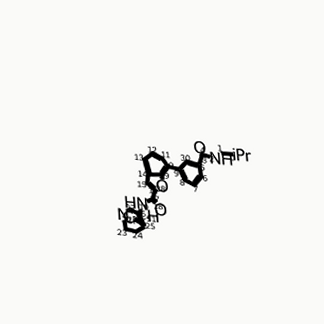 CC(C)CNC(=O)c1cccc(-c2cccc3cc(C(=O)N[C@@H]4CN5CCC4CC5)oc23)c1